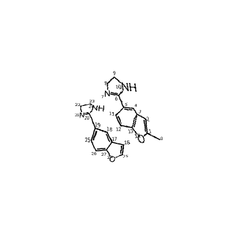 Cc1cc2cc(C3=NCCN3)ccc2o1.c1cc2cc(C3=NCCN3)ccc2o1